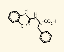 O=C(Nc1ccccc1Cl)N[C@@H](Cc1ccccc1)C(=O)O